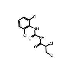 O=C(NC(=O)C(Cl)CCl)Nc1c(Cl)cccc1Cl